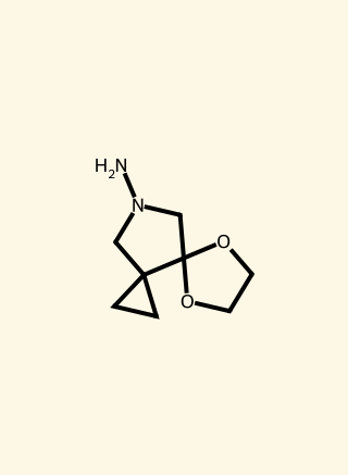 NN1CC2(CC2)C2(C1)OCCO2